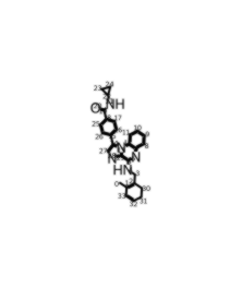 CC1=C(CNc2nc3ccccc3n3c(-c4ccc(C(=O)NC5CC5)cc4)cnc23)CCC=C1